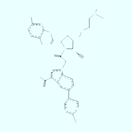 C#C[C@@H]1[C@@H](COCCN(C)C)C[C@@H](C(=O)Nc2nc(Br)ccc2C)N1C(=O)Cn1nc(C(C)=O)c2cc(-c3cnc(C)nc3)ccc21